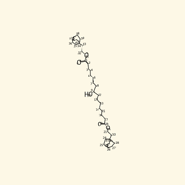 O=C(CCCCCCCC(O)CCCCCCCC(=O)OCCC12CCC(CC1)CC2)OCCC12CCC(CC1)CC2